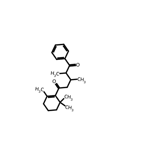 CC1=C(C(=O)CC(C)C(C)C(=O)c2ccccc2)C(C)(C)CCC1